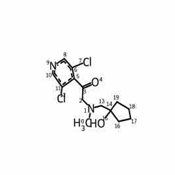 CN(CC(=O)c1c(Cl)cncc1Cl)CC1(O)CCCC1